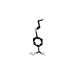 CC(C)c1ccc(OCCF)cc1